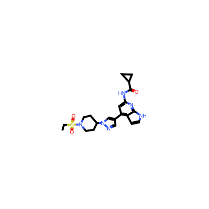 CCS(=O)(=O)N1CCC(n2cc(-c3cc(NC(=O)C4CC4)nc4[nH]ccc34)cn2)CC1